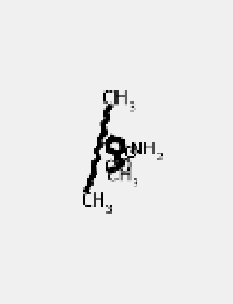 CCCCCCCCCCCCCCCC.COC(=O)c1ccccc1ON